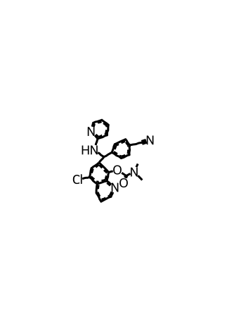 CN(C)C(=O)Oc1c(C(Nc2ccccn2)c2ccc(C#N)cc2)cc(Cl)c2cccnc12